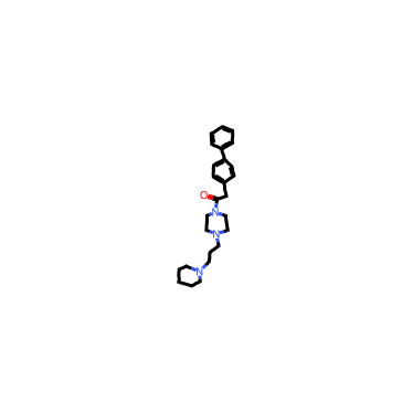 O=C(Cc1ccc(-c2ccccc2)cc1)N1CCN(CCCN2CCCCC2)CC1